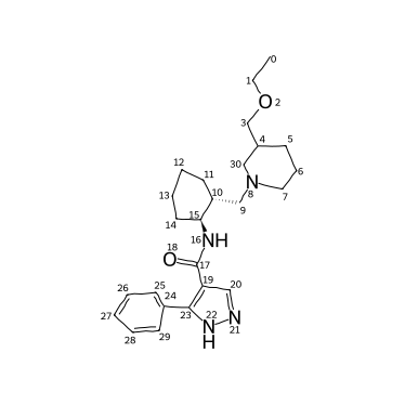 CCOCC1CCCN(C[C@H]2CCCC[C@@H]2NC(=O)c2cn[nH]c2-c2ccccc2)C1